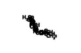 CC(C)(C)OC(=O)N1CCC(Oc2cnc(C(=O)Nc3ccc(S(C)(=O)=O)cc3F)cn2)CC1